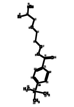 CCCCC(CC)COC[CH]OOC(=O)c1ccc([Si](C)(C)C)cc1